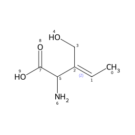 C/C=C(\CO)C(N)C(=O)O